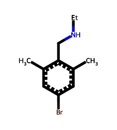 CCNCc1c(C)cc(Br)cc1C